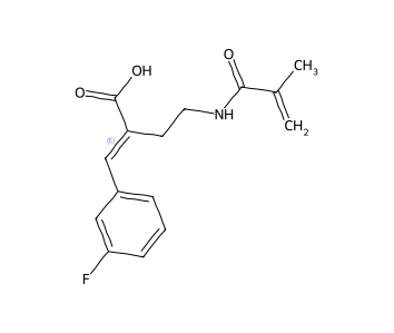 C=C(C)C(=O)NCC/C(=C\c1cccc(F)c1)C(=O)O